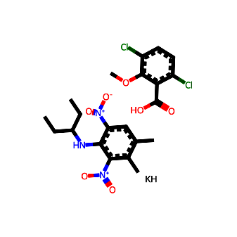 CCC(CC)Nc1c([N+](=O)[O-])cc(C)c(C)c1[N+](=O)[O-].COc1c(Cl)ccc(Cl)c1C(=O)O.[KH]